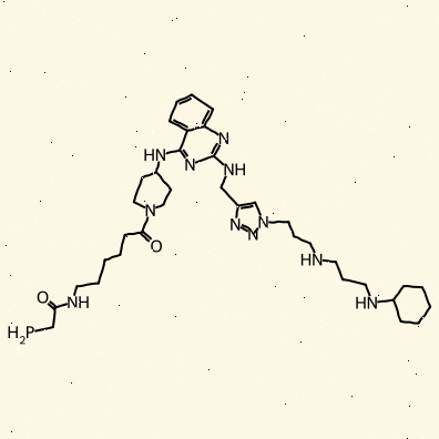 O=C(CP)NCCCCCC(=O)N1CCC(Nc2nc(NCc3cn(CCCNCCCNC4CCCCC4)nn3)nc3ccccc23)CC1